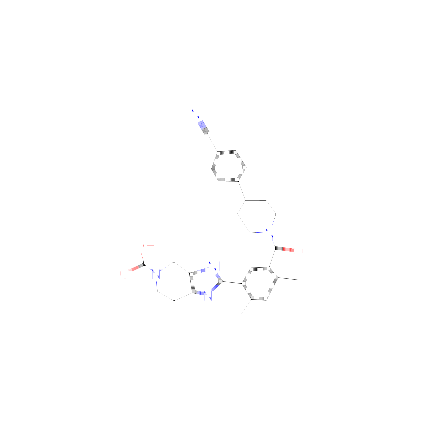 Cc1cc(C)c(-c2nc3c([nH]2)CN(C(=O)O)CC3)cc1C(=O)N1CCC(c2ccc(C#N)cc2)CC1